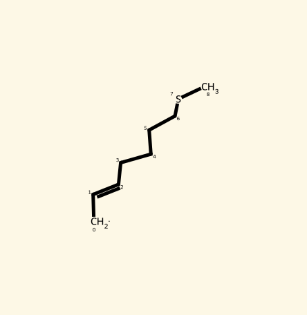 [CH2]/C=C/CCCCSC